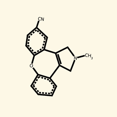 CN1CC2=C(C1)c1cc(C#N)ccc1Oc1ccccc12